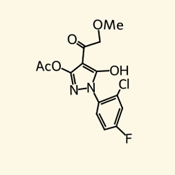 COCC(=O)c1c(OC(C)=O)nn(-c2ccc(F)cc2Cl)c1O